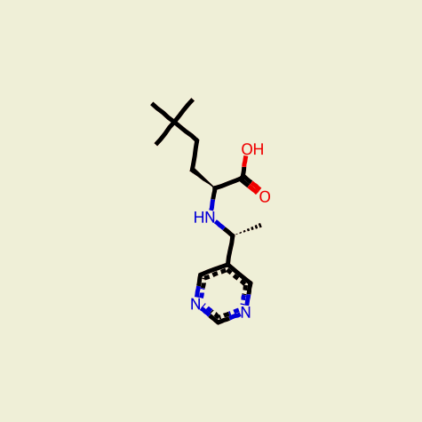 C[C@@H](N[C@@H](CCC(C)(C)C)C(=O)O)c1cncnc1